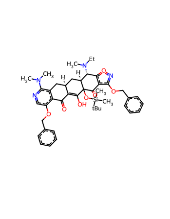 CCN(C)[C@@H]1c2onc(OCc3ccccc3)c2C(=O)C2(O[Si](C)(C)C(C)(C)C)C(O)=C3C(=O)c4c(OCc5ccccc5)cnc(N(C)C)c4C[C@H]3C[C@@H]12